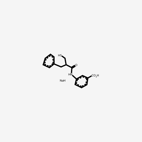 O=C(O)c1cccc(NC(=O)C(CS)Cc2ccccc2)c1.[NaH]